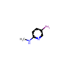 CNc1ccc(P)cn1